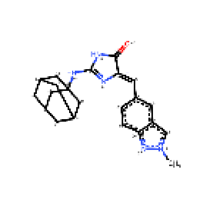 Cn1cc2cc(/C=C3\N=C(NC45CC6CC(CC(C6)C4)C5)NC3=O)ccc2n1